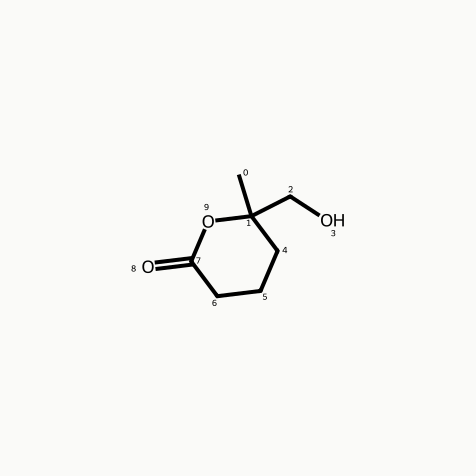 CC1(CO)CCCC(=O)O1